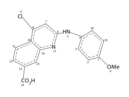 COc1ccc(Nc2cc(Cl)c3ccc(C(=O)O)cc3n2)cc1